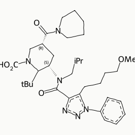 COCCCCc1c(C(=O)N(CC(C)C)[C@H]2C[C@@H](C(=O)N3CCCCC3)CN(C(=O)O)C2C(C)(C)C)nnn1-c1ccccc1